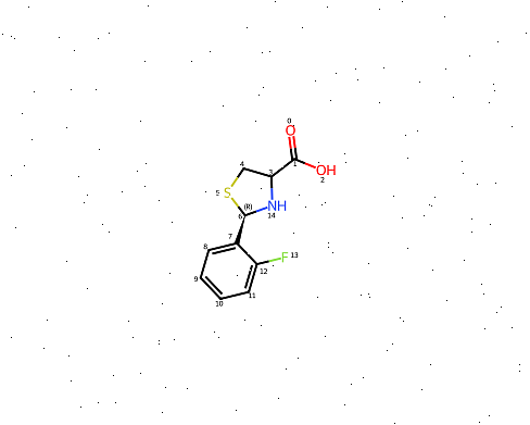 O=C(O)C1CS[C@H](c2ccccc2F)N1